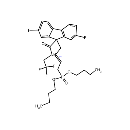 CCCCOP(=O)(C/C=C/CC1(C(=O)NCC(F)(F)F)c2cc(F)ccc2-c2ccc(F)cc21)OCCCC